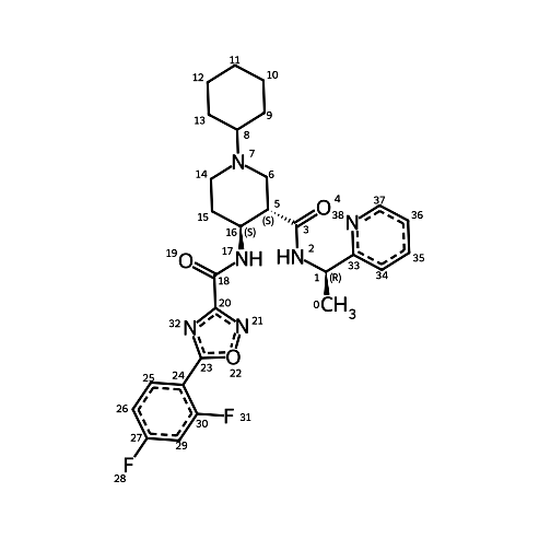 C[C@@H](NC(=O)[C@H]1CN(C2CCCCC2)CC[C@@H]1NC(=O)c1noc(-c2ccc(F)cc2F)n1)c1ccccn1